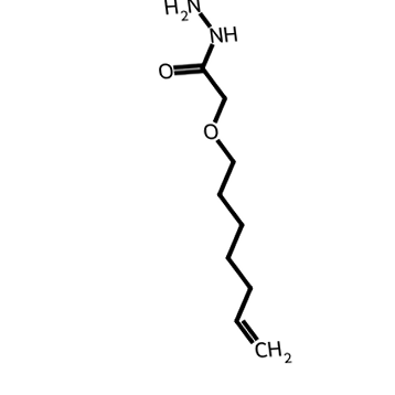 C=CCCCCCOCC(=O)NN